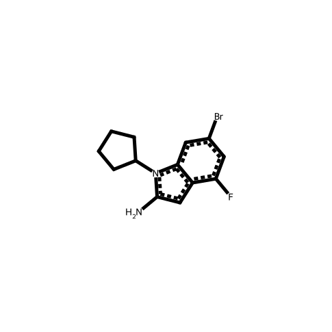 Nc1cc2c(F)cc(Br)cc2n1C1CCCC1